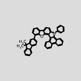 CC1(C)c2ccccc2-c2ccc(-c3cccc4c3oc3c4ccc4c3c3c5ccccc5c5ccccc5c3n4-c3ccccc3)cc21